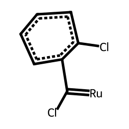 Cl[C](=[Ru])c1ccccc1Cl